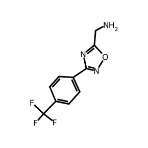 NCc1nc(-c2ccc(C(F)(F)F)cc2)no1